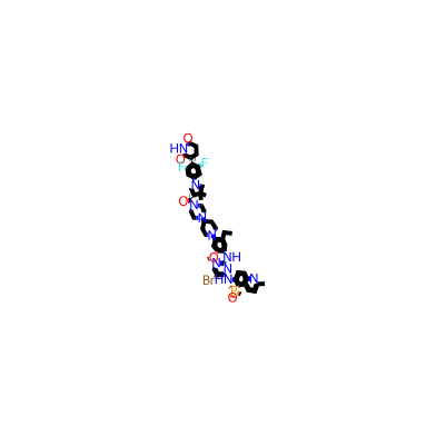 CCc1cc(Nc2ncc(Br)c(Nc3ccc4nc(C)ccc4c3P(C)(C)=O)n2)c(OC)cc1N1CCC(N2CCN(C(=O)[C@@H]3CN(c4cc(F)c([C@H]5CCC(=O)NC5=O)c(F)c4)CC3(C)C)CC2)CC1